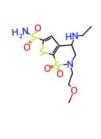 CCNC1CN(CCOC)S(=O)(=O)c2sc(S(N)(=O)=O)cc21